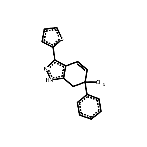 CC1(c2ccccc2)C=Cc2c(-c3cccs3)n[nH]c2C1